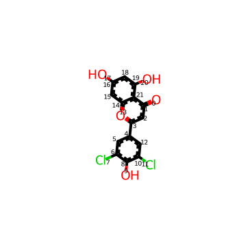 O=c1cc(-c2cc(Cl)c(O)c(Cl)c2)oc2cc(O)cc(O)c12